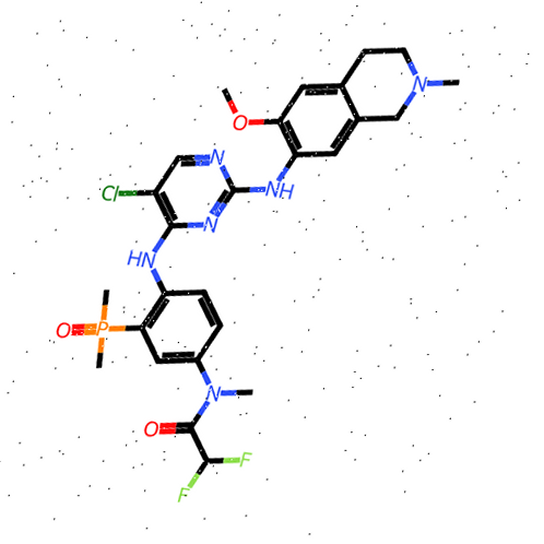 COc1cc2c(cc1Nc1ncc(Cl)c(Nc3ccc(N(C)C(=O)C(F)F)cc3P(C)(C)=O)n1)CN(C)CC2